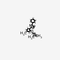 Cc1ccc(-c2nc(-c3ccccc3)no2)c(OCCN(C)C)c1